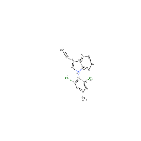 C#Cc1cn(-c2c(Cl)cc(C(F)(F)F)cc2Cl)c2ccccc12